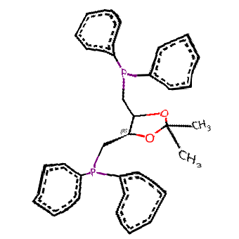 CC1(C)OC(CP(c2ccccc2)c2ccccc2)[C@H](CP(c2ccccc2)c2ccccc2)O1